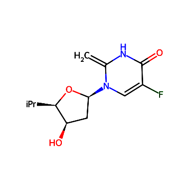 C=C1NC(=O)C(F)=CN1[C@H]1C[C@@H](O)[C@@H](C(C)C)O1